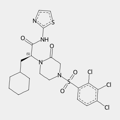 O=C(Nc1nccs1)[C@H](CC1CCCCC1)N1CCN(S(=O)(=O)c2ccc(Cl)c(Cl)c2Cl)CC1=O